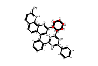 CC(C)c1ccc2ccc3c(-c4ccccc4-c4nc(-c5ccccc5)nc(-c5ccccc5)n4)cc(-c4ccccc4)nc3c2n1